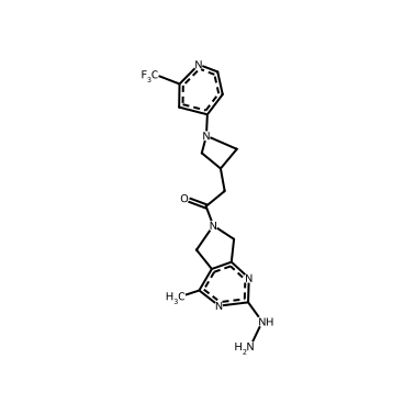 Cc1nc(NN)nc2c1CN(C(=O)CC1CN(c3ccnc(C(F)(F)F)c3)C1)C2